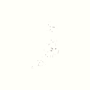 CC(=O)c1csc(CNC(=O)[C@H]2[C@H](C(=O)NCCN3CCNC3=O)[C@H]3C=C[C@@H]2C32CC2)n1